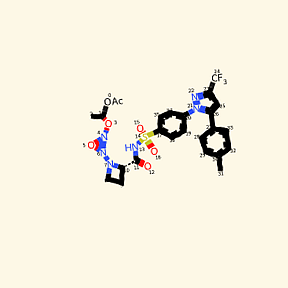 CC(=O)OC(C)On1on1N1CC[C@H]1C(=O)NS(=O)(=O)c1ccc(-n2nc(C(F)(F)F)cc2-c2ccc(C)cc2)cc1